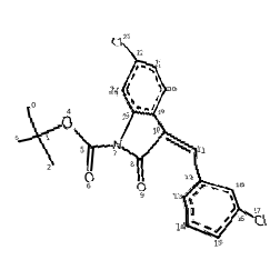 CC(C)(C)OC(=O)N1C(=O)C(=Cc2cccc(Cl)c2)c2ccc(Cl)cc21